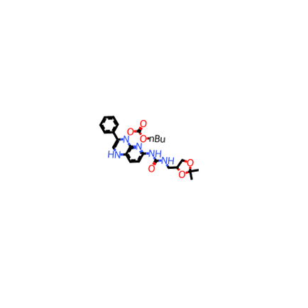 CCCCOC(=O)ON1C(c2ccccc2)=CNc2ccc(NC(=O)NCC3COC(C)(C)O3)nc21